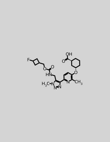 Cc1nc(-c2nnn(C)c2CNC(=O)OCC2CC(F)C2)ccc1O[C@H]1CCC[C@H](C(=O)O)C1